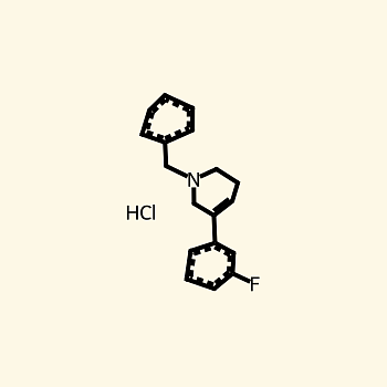 Cl.Fc1cccc(C2=CCCN(Cc3ccccc3)C2)c1